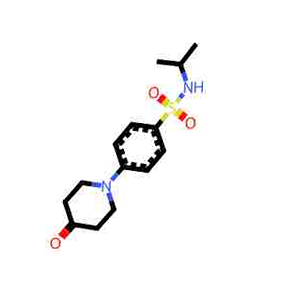 CC(C)NS(=O)(=O)c1ccc(N2CCC(=O)CC2)cc1